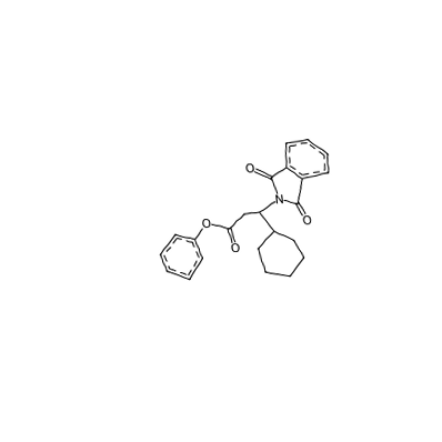 O=C(CC(C1CCCCC1)N1C(=O)c2ccccc2C1=O)Oc1ccccc1